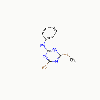 CSc1nc(S)nc(Nc2ccccc2)n1